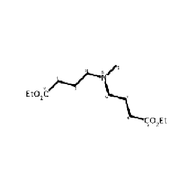 CCOC(=O)CCCN(C)CCCC(=O)OCC